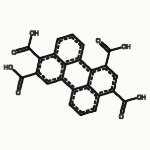 O=C(O)c1cc2c3cccc4c(C(=O)O)cc(C(=O)O)c(c5cccc(c1C(=O)O)c25)c43